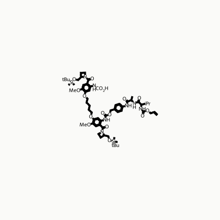 C=CCOC(=O)NC(C(=O)NC(C)C(=O)Nc1ccc(COC(=O)Nc2cc(OCCCCCOc3cc(NC(=O)O)c(C(=O)N4CCC4CO[Si](C)(C)C(C)(C)C)cc3OC)c(OC)cc2C(=O)N2CCC2CO[Si](C)(C)C(C)(C)C)cc1)C(C)C